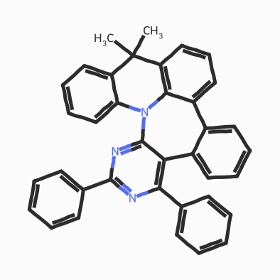 CC1(C)c2ccccc2N2c3nc(-c4ccccc4)nc(-c4ccccc4)c3-c3ccccc3-c3cccc1c32